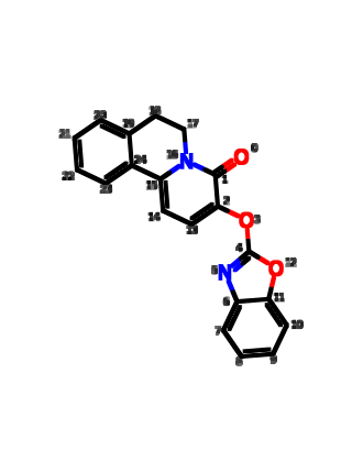 O=c1c(Oc2nc3ccccc3o2)ccc2n1CCc1ccccc1-2